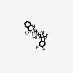 O=C(NCc1nc2ccccc2c(=O)[nH]1)[C@@](O)(c1ccc(F)c(F)c1)C(F)(F)F